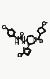 COC1CCC(C(=O)N2CC[C@@H](NC(=O)Nc3ccc(Cl)cc3)[C@H](c3ccc(Cl)s3)C2)CC1